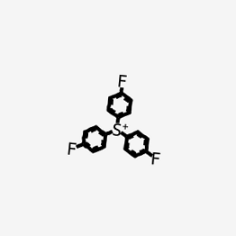 Fc1ccc([S+](c2ccc(F)cc2)c2ccc(F)cc2)cc1